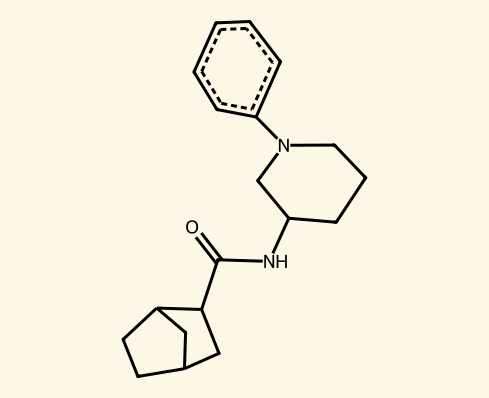 O=C(NC1CCCN(c2ccccc2)C1)C1CC2CCC1C2